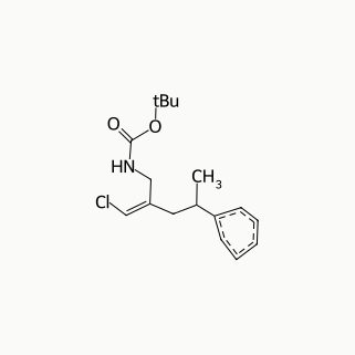 CC(CC(=CCl)CNC(=O)OC(C)(C)C)c1ccccc1